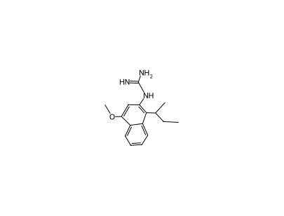 CCC(C)c1c(NC(=N)N)cc(OC)c2ccccc12